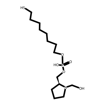 O=P(O)(OCCCCCCCCS)OC[C@@H]1CCCN1CO